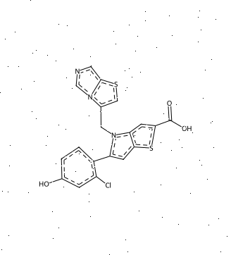 O=C(O)c1cc2c(cc(-c3ccc(O)cc3Cl)n2Cc2csc3cncn23)s1